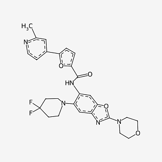 Cc1cc(-c2ccc(C(=O)Nc3cc4oc(N5CCOCC5)nc4cc3N3CCC(F)(F)CC3)o2)ccn1